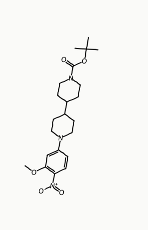 COc1cc(N2CCC(C3CCN(C(=O)OC(C)(C)C)CC3)CC2)ccc1[N+](=O)[O-]